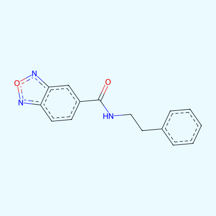 O=C(NCCc1ccccc1)c1ccc2nonc2c1